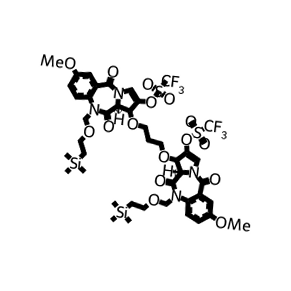 COc1ccc2c(c1)C(=O)N1C=C(OS(=O)(=O)C(F)(F)F)C(OCCCOC3C(OS(=O)(=O)C(F)(F)F)=CN4C(=O)c5cc(OC)ccc5N(COCC[Si](C)(C)C)C(=O)[C@H]34)[C@H]1C(=O)N2COCC[Si](C)(C)C